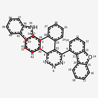 c1ccc(-c2nnnc(-c3cccc4oc5ccccc5c34)c2-c2ccccc2-c2cccc3c2[nH]c2ccccc23)cc1